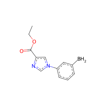 Bc1cccc(-n2cnc(C(=O)OCC)c2)c1